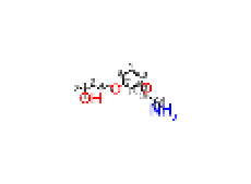 CC(O)CCCOc1cccc(OCCN)c1